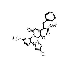 Cc1ccc(-n2cc(Cl)nn2)c(N2CC(=O)N(C(Cc3ccccc3)C(=O)O)CC2=O)c1